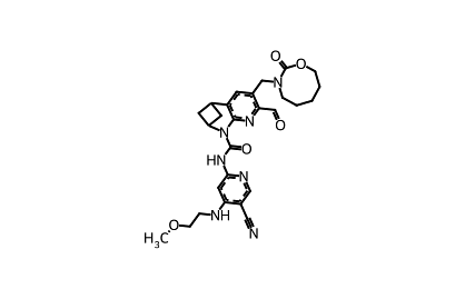 COCCNc1cc(NC(=O)N2c3nc(C=O)c(CN4CCCCCOC4=O)cc3C3CC2C3)ncc1C#N